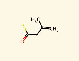 C=C(C)CC(=O)[S]